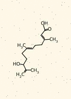 C=C(C)C(O)CCC(C)=CCCC(C)=CC(=O)O